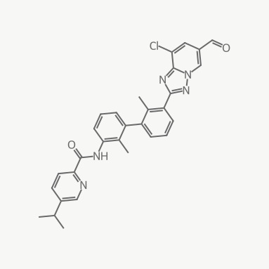 Cc1c(NC(=O)c2ccc(C(C)C)cn2)cccc1-c1cccc(-c2nc3c(Cl)cc(C=O)cn3n2)c1C